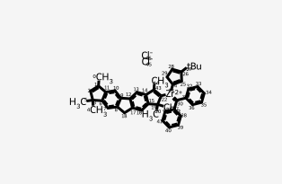 CC1=CC(C)(C)c2cc3c(cc21)-c1cc2c(cc1C3)C(C)(C)[C]([Zr+2]([C]1=CC(C(C)(C)C)=CC1)=[C](c1ccccc1)c1ccccc1)=C2C.[Cl-].[Cl-]